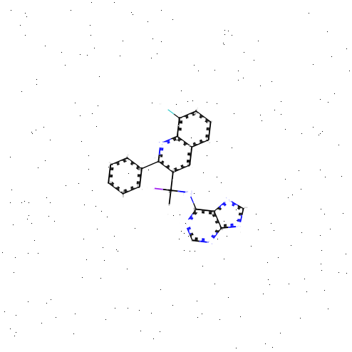 CC(I)(Nc1ncnc2[nH]cnc12)c1cc2cccc(F)c2nc1-c1ccccc1